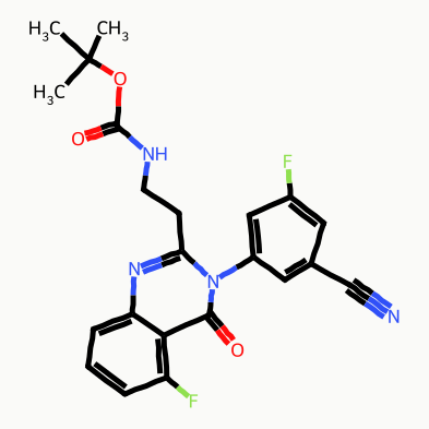 CC(C)(C)OC(=O)NCCc1nc2cccc(F)c2c(=O)n1-c1cc(F)cc(C#N)c1